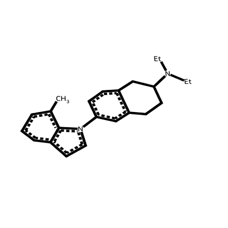 CCN(CC)C1CCc2cc(-n3ccc4cccc(C)c43)ccc2C1